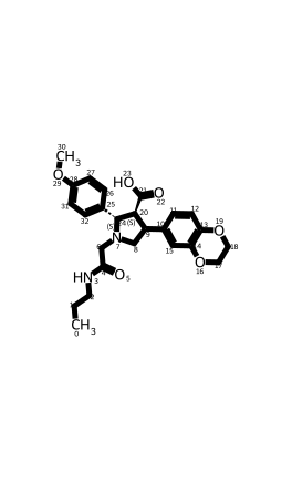 CCCNC(=O)CN1CC(c2ccc3c(c2)OCCO3)[C@H](C(=O)O)[C@H]1c1ccc(OC)cc1